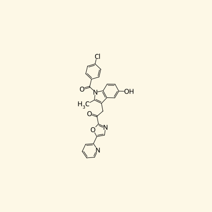 Cc1c(CC(=O)c2ncc(-c3ccccn3)o2)c2cc(O)ccc2n1C(=O)c1ccc(Cl)cc1